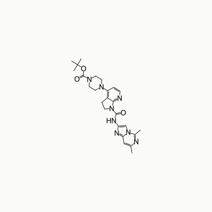 Cc1cc2nc(NC(=O)N3CCc4c(N5CCN(C(=O)OC(C)(C)C)CC5)ccnc43)cn2c(C)n1